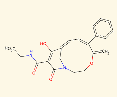 C=C1OCCN2C/C(=C\C=C/1c1ccccc1)C(O)=C(C(=O)NCC(=O)O)C2=O